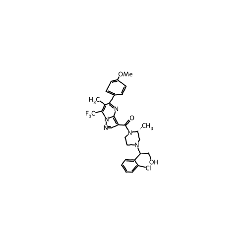 COc1ccc(-c2nc3c(C(=O)N4CCN([C@@H](CO)c5ccccc5Cl)C[C@H]4C)cnn3c(C(F)(F)F)c2C)cc1